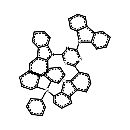 c1ccc([Si](c2ccccc2)(c2ccccc2)c2cccc3c2oc2c(-c4nc(-n5c6ccccc6c6ccccc65)nc(-n5c6ccccc6c6ccccc65)n4)cccc23)cc1